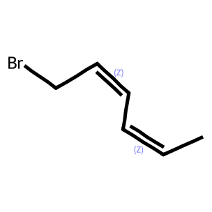 C/C=C\C=C/CBr